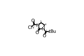 CC(C)(C)C(=O)N1CCN(C(=O)Cl)C1=O